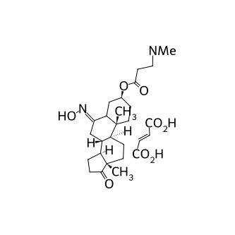 CNCCC(=O)O[C@H]1CC[C@@]2(C)C(C1)/C(=N/O)C[C@@H]1[C@@H]2CC[C@]2(C)C(=O)CC[C@@H]12.O=C(O)/C=C/C(=O)O